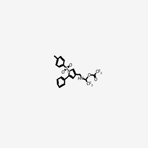 Cc1ccc(S(=O)(=O)n2cc(CNC(OC(=O)C(F)(F)F)C(F)(F)F)cc2-c2ccccc2)cc1